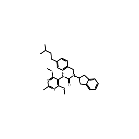 CSc1nc(C)nc(SC)c1NC(=O)N(Cc1ccc(CCC(C)C)cc1)C1Cc2ccccc2C1